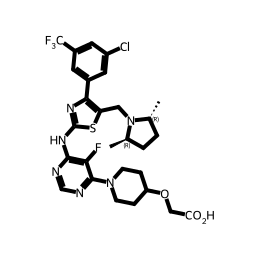 C[C@@H]1CC[C@@H](C)N1Cc1sc(Nc2ncnc(N3CCC(OCC(=O)O)CC3)c2F)nc1-c1cc(Cl)cc(C(F)(F)F)c1